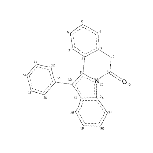 O=C1Cc2ccccc2-c2c(-c3ccccc3)c3ccccc3n21